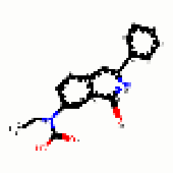 CCN(C(=O)O)c1ccc2cc(-c3ccccc3)[nH]c(=O)c2c1